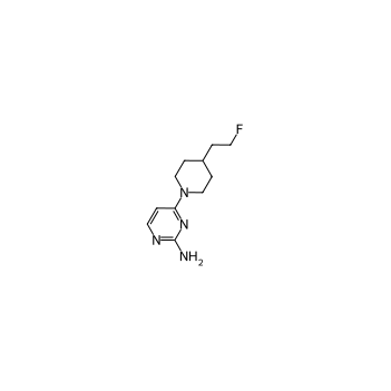 Nc1nccc(N2CCC(CCF)CC2)n1